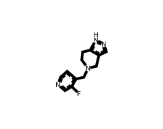 Fc1cnccc1CN1CCc2[nH]ncc2C1